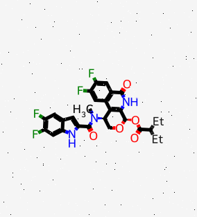 CCC(CC)C(=O)O[C@H]1OC[C@@H](N(C)C(=O)c2cc3cc(F)c(F)cc3[nH]2)c2c1[nH]c(=O)c1cc(F)c(F)cc21